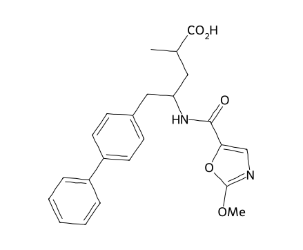 COc1ncc(C(=O)NC(Cc2ccc(-c3ccccc3)cc2)CC(C)C(=O)O)o1